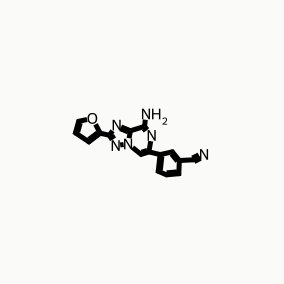 N#Cc1cccc(-c2cn3nc(-c4ccco4)nc3c(N)n2)c1